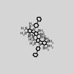 Bc1c(B)c(B)c2c(c1B)c1c(B)c(-c3c(B)c(B)c4c(c3B)c3c(B)c(B)c(B)c(B)c3n4-c3ccc(-c4ccccc4)cc3)c(B)c(B)c1n2-c1ccc(-c2ccccc2)cc1